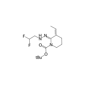 C/C=C1/CCCN(C(=O)OC(C)(C)C)C1=NNCC(F)F